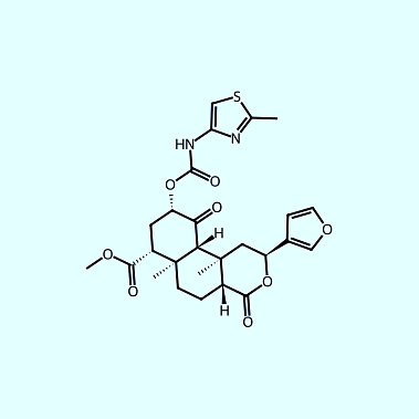 COC(=O)[C@@H]1C[C@H](OC(=O)Nc2csc(C)n2)C(=O)[C@H]2[C@@]1(C)CC[C@H]1C(=O)O[C@H](c3ccoc3)C[C@]21C